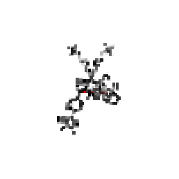 Cc1nc(-c2ccc(-c3cnn4c(N(COCC[Si](C)(C)C)COCC[Si](C)(C)C)c(C5CC5)c(C5CC6CC[C@H](C5)N6C(=O)OC(C)(C)C)nc34)cn2)[nH]c1C